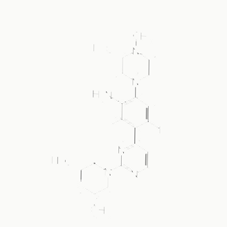 C[C@@H]1CN(c2nccc(-c3c(F)cc(N4CCN(C)[C@@H](C)C4)c(N)c3F)n2)C[C@H](C)O1